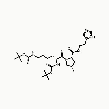 C[C@H]1C[C@@H](C(=O)NCCc2cnc[nH]2)N(C(=O)[C@@H](CCCCNC(=O)OC(C)(C)C)NC(=O)OC(C)(C)C)C1